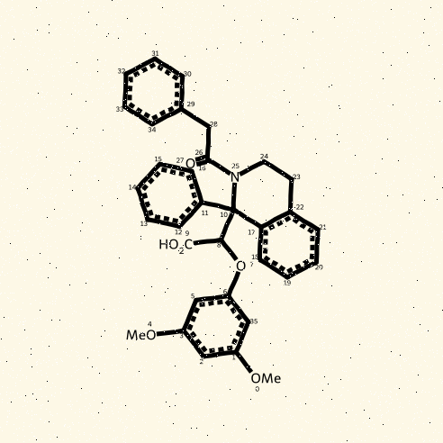 COc1cc(OC)cc(OC(C(=O)O)C2(c3ccccc3)c3ccccc3CCN2C(=O)Cc2ccccc2)c1